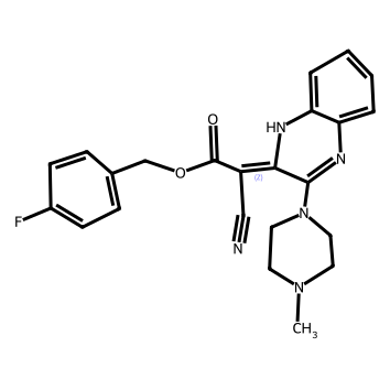 CN1CCN(C2=Nc3ccccc3N/C2=C(/C#N)C(=O)OCc2ccc(F)cc2)CC1